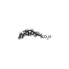 C[C@]12CC[C@H](NC(=O)NCCCC(=O)O)C[C@H]1CC[C@@H]1[C@@H]2CC[C@]2(C)[C@@H](c3ccc(=O)oc3)CC[C@]12O